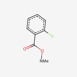 CNOC(=O)c1ccccc1F